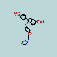 Oc1ccc(C2=C(Cc3ccc(OCCN4CCCC4)cc3)c3ccc(O)cc3C2)cc1